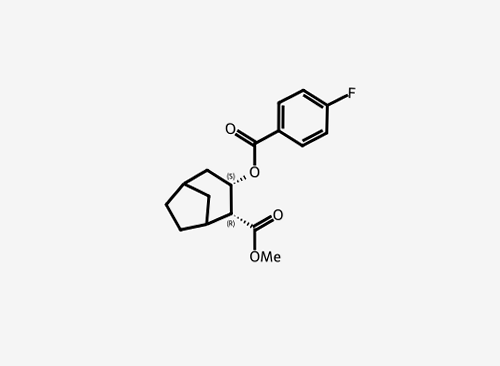 COC(=O)[C@@H]1C2CCC(C2)C[C@@H]1OC(=O)c1ccc(F)cc1